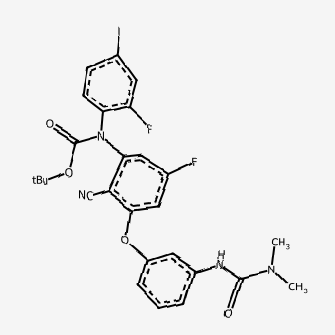 CN(C)C(=O)Nc1cccc(Oc2cc(F)cc(N(C(=O)OC(C)(C)C)c3ccc(I)cc3F)c2C#N)c1